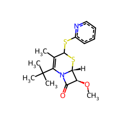 CO[C@H]1C(=O)N2C(C(C)(C)C)=C(C)C(Sc3ccccn3)S[C@H]12